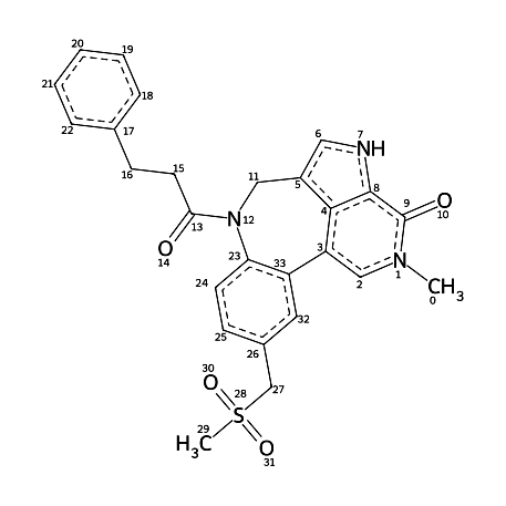 Cn1cc2c3c(c[nH]c3c1=O)CN(C(=O)CCc1ccccc1)c1ccc(CS(C)(=O)=O)cc1-2